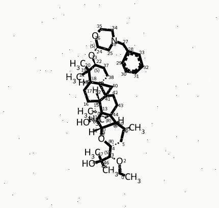 CCO[C@@H]([C@H]1C[C@@H](C)[C@H]2[C@H](O1)[C@H](O)[C@@]1(C)[C@@H]3CC[C@H]4C(C)(C)[C@@H](O[C@H]5CN(Cc6ccccc6)CCO5)CC[C@@]45CC35CC[C@]21C)C(C)(C)O